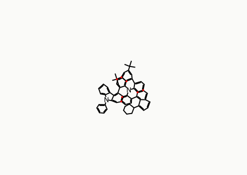 CC(C)(C)c1cc(-c2ccccc2N(c2ccccc2-c2cccc3cccc(C4CCCCC4)c23)c2ccccc2-c2cccc3c2c2ccccc2n3-c2ccccc2)cc(C(C)(C)C)c1